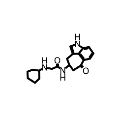 O=C(CNC1CCCCC1)NC1CC(=O)c2cccc3[nH]cc(c23)C1